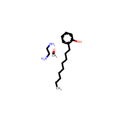 C=O.CCCCCCCCCc1ccccc1O.NCCN